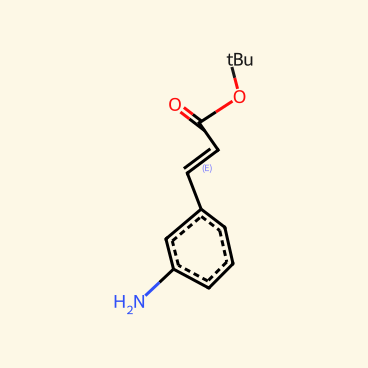 CC(C)(C)OC(=O)/C=C/c1cccc(N)c1